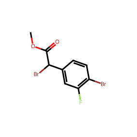 COC(=O)C(Br)c1ccc(Br)c(F)c1